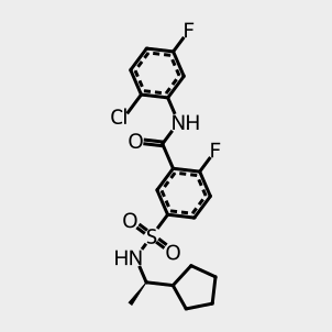 C[C@@H](NS(=O)(=O)c1ccc(F)c(C(=O)Nc2cc(F)ccc2Cl)c1)C1CCCC1